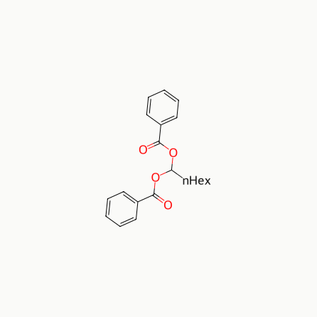 CCCCCCC(OC(=O)c1ccccc1)OC(=O)c1ccccc1